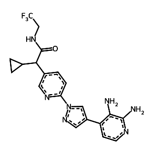 Nc1nccc(-c2cnn(-c3ccc(C(C(=O)NCC(F)(F)F)C4CC4)cn3)c2)c1N